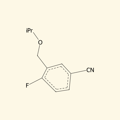 CC(C)OCc1cc(C#N)ccc1F